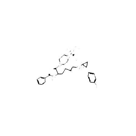 C[C@]1(NCCCCC(NC(=O)c2ccccc2)C(=O)N2CCN(S(C)(=O)=O)CC2)C[C@@H]1c1ccc(F)cc1